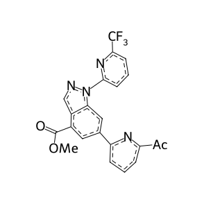 COC(=O)c1cc(-c2cccc(C(C)=O)n2)cc2c1cnn2-c1cccc(C(F)(F)F)n1